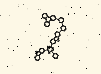 c1ccc(-c2nc(-c3ccc4c(c3)sc3cc(-c5cccc(-c6cccc(-c7ccc8c9ccccc9c9ccccc9c8c7)c6)c5)ccc34)nc(-c3ccc4sc5ccccc5c4c3)n2)cc1